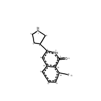 O=c1[nH]c(C2CCNC2)cc2cccc(F)c12